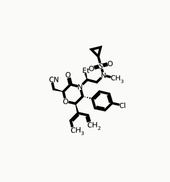 C=C/C(=C\C)[C@H]1O[C@@H](CC#N)C(=O)N([C@@H](CC)CN(C)S(=O)(=O)C2CC2)[C@@H]1c1ccc(Cl)cc1